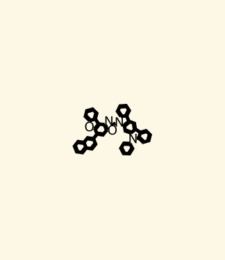 c1ccc(-n2c3ccccc3c3cc4c5ccccc5n(-c5nc6c(cc(-c7ccc8ccccc8c7)c7oc8ccccc8c76)o5)c4cc32)cc1